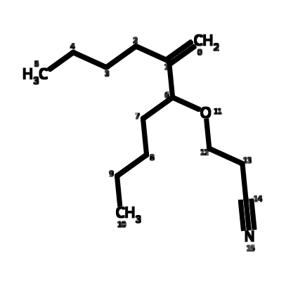 C=C(CCCC)C(CCCC)OCCC#N